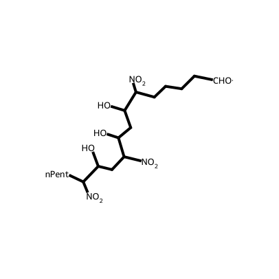 CCCCCC(C(O)CC(C(O)CC(O)C(CCCC[C]=O)[N+](=O)[O-])[N+](=O)[O-])[N+](=O)[O-]